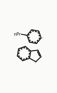 CCCc1cc[c]cc1.[CH]1C=Cc2ccccc21